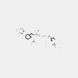 C=N/C(=N\OCCNC(=O)c1ccn(C(C)(C)CO)c1)c1cc2c(N[C@@H]3CCN(C)C[C@@H]3F)cccc2n1CC(F)(F)F